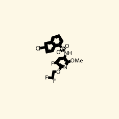 COc1nc(OCC(F)F)c(F)cc1NS(=O)(=O)c1cccc2cc(Cl)ccc12